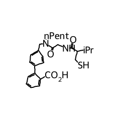 CCCCCN(Cc1ccc(-c2ccccc2C(=O)O)cc1)C(=O)CNC(=O)C(CS)C(C)C